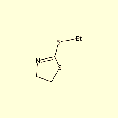 CCSC1=NCCS1